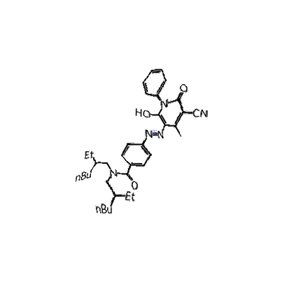 CCCCC(CC)CN(CC(CC)CCCC)C(=O)c1ccc(/N=N/c2c(C)c(C#N)c(=O)n(-c3ccccc3)c2O)cc1